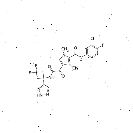 Cn1cc(C(=O)C(=O)NC2(c3cn[nH]n3)CC(F)(F)C2)c(C#N)c1C(=O)Nc1ccc(F)c(Cl)c1